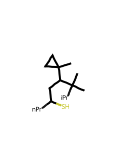 CCCC(S)CC(C1(C)CC1)C(C)(C)C(C)C